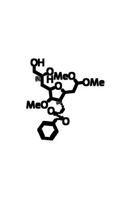 COC(CC1OC(C[C@H](O)CO)C(OC)[C@H]1CS(=O)(=O)c1ccccc1)OC